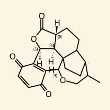 CC1CO[C@H]2C3=C(C(=O)C=CC3=O)[C@H]3OC(=O)[C@@H]4CCC5C1CCC52[C@@H]34